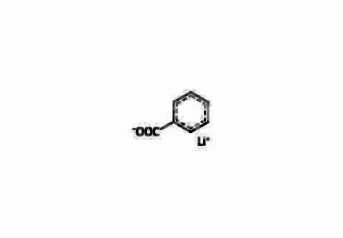 O=C([O-])c1ccccc1.[Li+]